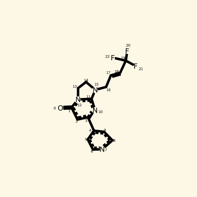 O=c1cc(-c2ccncc2)nc2n1CCN2CC=CC(F)(F)F